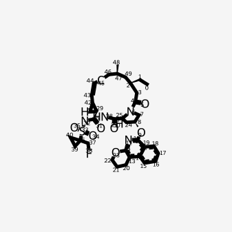 CC[C@H]1CC(=O)N2C[C@H](Oc3nc4c(c5ccccc35)CCCO4)C[C@H]2C(=O)N[C@]2(C(=O)NS(=O)(=O)C3(CF)CC3)CC2/C=C\CC[C@@H](C)C1